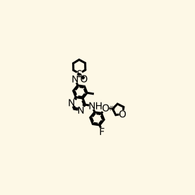 Cc1cc(N=S2(=O)CCCCC2)cc2ncnc(Nc3ccc(F)cc3O[C@H]3CCOC3)c12